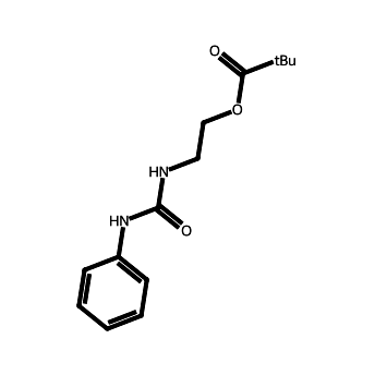 CC(C)(C)C(=O)OCCNC(=O)Nc1ccccc1